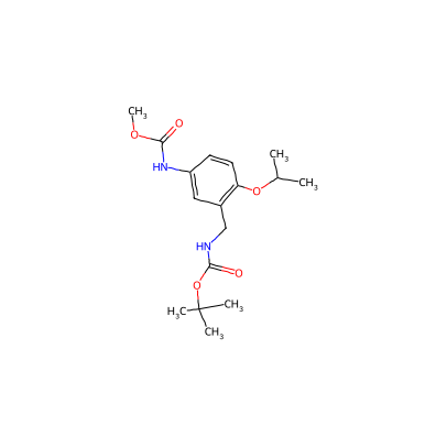 COC(=O)Nc1ccc(OC(C)C)c(CNC(=O)OC(C)(C)C)c1